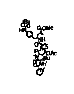 CC[C@H](C)[C@H](NC(=O)[C@H]1CCCCN1C)C(=O)N(C)[C@H](C[C@@H](OC(C)=O)c1nc(C(=O)N[C@@H](Cc2ccc(NC(=O)OC(C)(C)C)cc2)CC(C)C(=O)OC)cs1)C(C)C